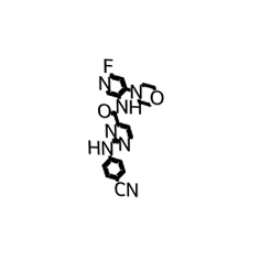 N#Cc1ccc(Nc2nccc(C(=O)Nc3cnc(F)cc3N3CCOCC3)n2)cc1